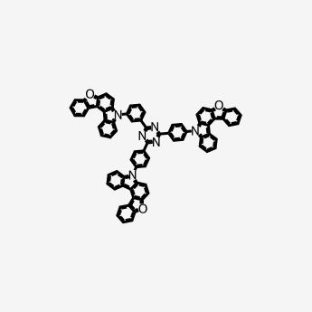 c1cc(-c2nc(-c3ccc(-n4c5ccccc5c5c6c(ccc54)oc4ccccc46)cc3)nc(-c3ccc(-n4c5ccccc5c5c6c(ccc54)oc4ccccc46)cc3)n2)cc(-n2c3ccccc3c3c4c(ccc32)oc2ccccc24)c1